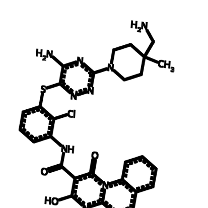 CC1(CN)CCN(c2nnc(Sc3cccc(NC(=O)c4c(O)nc5ccc6ccccc6n5c4=O)c3Cl)c(N)n2)CC1